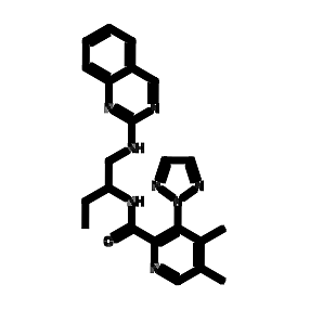 CCC(CNc1ncc2ccccc2n1)NC(=O)c1ncc(C)c(C)c1-n1nccn1